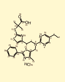 CCc1cnc(N(CCc2csc(SC(C)(C)C(=O)O)n2)Cc2sc(-c3ccccc3)nc2C)nc1.Cl